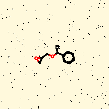 CCC(OCC1CO1)c1ccccc1